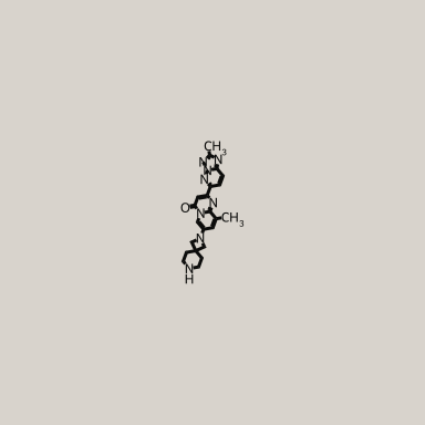 Cc1nc2ccc(-c3cc(=O)n4cc(N5CC6(CCNCC6)C5)cc(C)c4n3)nn2n1